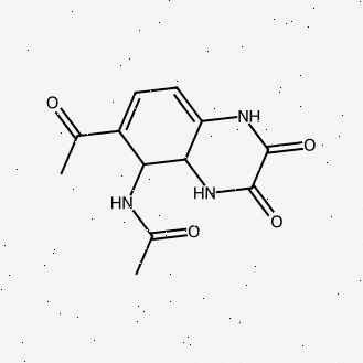 CC(=O)NC1C(C(C)=O)=CC=C2NC(=O)C(=O)NC21